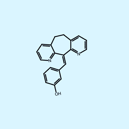 Oc1cccc(C=C2c3ncccc3CCc3cccnc32)c1